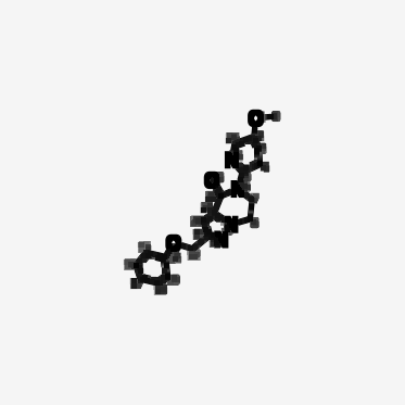 COc1ccc(N2CCn3nc(COc4ccccc4)cc3C2=O)nc1